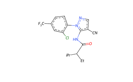 CCC(C(=O)Nc1c(C#N)cnn1-c1ccc(C(F)(F)F)cc1Cl)C(C)C